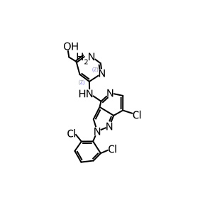 C=C(/C=C(\N=C/N)Nc1ncc(Cl)c2nn(-c3c(Cl)cccc3Cl)cc12)CO